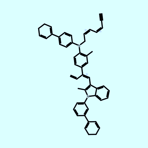 C#C/C=C\C=C/CN(c1ccc(C2=CCCC=C2)cc1)c1ccc(/C(C=C)=C/c2c(C)n(-c3cccc(C4=CCCC=C4)c3)c3ccccc23)cc1C